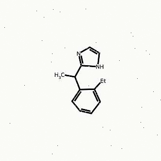 CCc1ccccc1C(C)c1ncc[nH]1